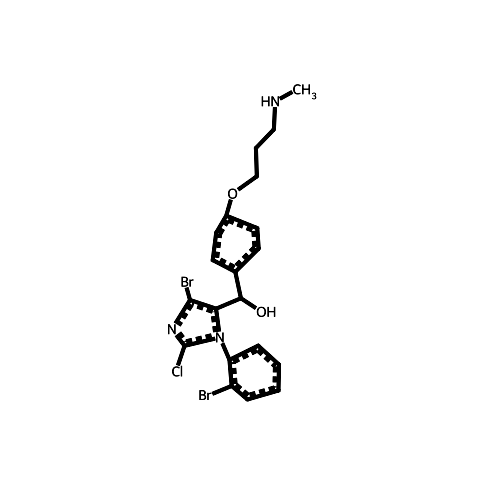 CNCCCOc1ccc(C(O)c2c(Br)nc(Cl)n2-c2ccccc2Br)cc1